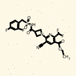 CCOC(=O)c1cc(C#N)c(N2CC(C(=O)NS(=O)(=O)Cc3ccc(F)cc3F)C2)nc1C(F)F